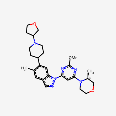 COc1nc(N2CCOC[C@@H]2C)cc(-n2ncc3cc(C)c(C4CCN(C5CCOC5)CC4)cc32)n1